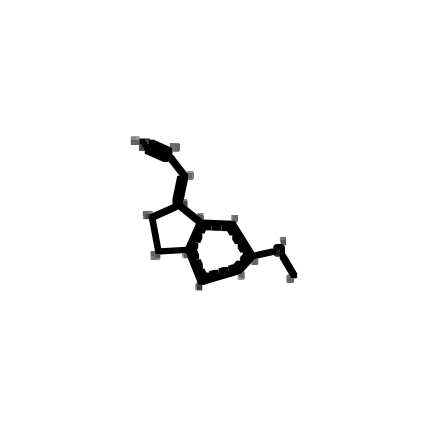 COc1ccc2c(c1)C(=CC#N)CC2